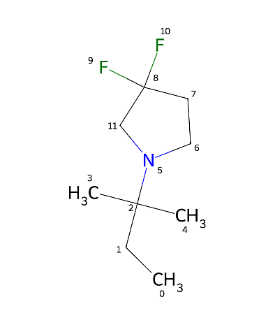 CCC(C)(C)N1CCC(F)(F)C1